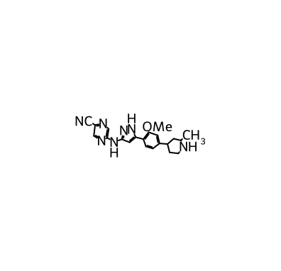 COc1cc(C2CCNC(C)C2)ccc1-c1cc(Nc2cnc(C#N)cn2)n[nH]1